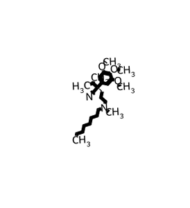 CCCCCCCCN(C)CCC[C@@](C#N)(c1cc(OC)c(OC)c(OC)c1)C(C)C